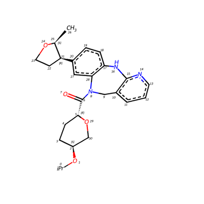 CC(C)O[C@H]1CC[C@H](C(=O)N2Cc3cccnc3Nc3ccc([C@H]4CCO[C@H]4C)cc32)OC1